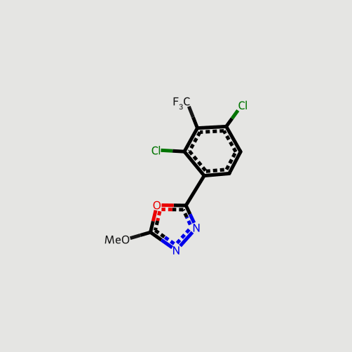 COc1nnc(-c2ccc(Cl)c(C(F)(F)F)c2Cl)o1